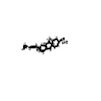 CCOC1CCC2(CC1)Cc1ccc(C#CC3CC3)cc1C2=O